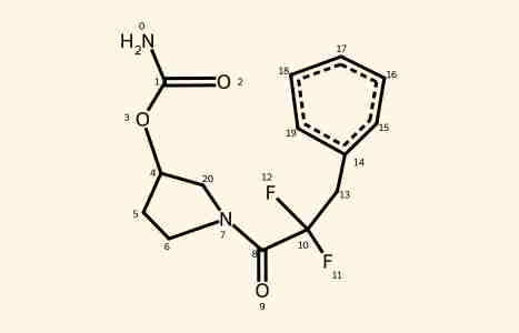 NC(=O)OC1CCN(C(=O)C(F)(F)Cc2ccccc2)C1